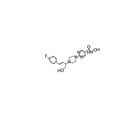 O=C(NO)c1cnc(N2CCN(C(/C=C/c3ccc(F)cc3)CO)CC2)nc1